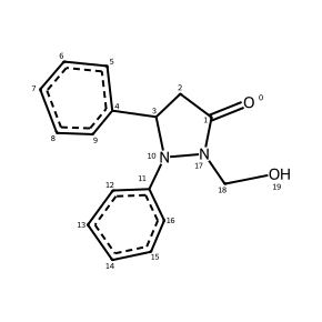 O=C1CC(c2ccccc2)N(c2ccccc2)N1CO